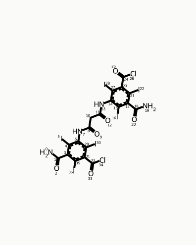 NC(=O)c1c(I)c(NC(=O)CC(=O)Nc2c(I)c(C(N)=O)c(I)c(C(=O)Cl)c2I)c(I)c(C(=O)Cl)c1I